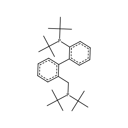 CC(C)(C)P(Cc1ccccc1-c1ccccc1P(C(C)(C)C)C(C)(C)C)C(C)(C)C